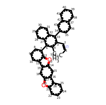 C/C=C\c1c(C)c(-c2cccc3c2oc2cc4c(cc23)oc2ccccc24)c2ccccc2c1-c1ccc2ccccc2c1